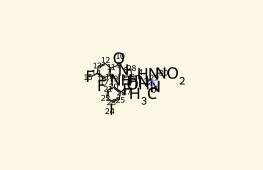 C/N=C(\NCC1(O)CN(C(=O)c2ccc(F)c(F)c2Nc2ccc(I)cc2F)C1)N[N+](=O)[O-]